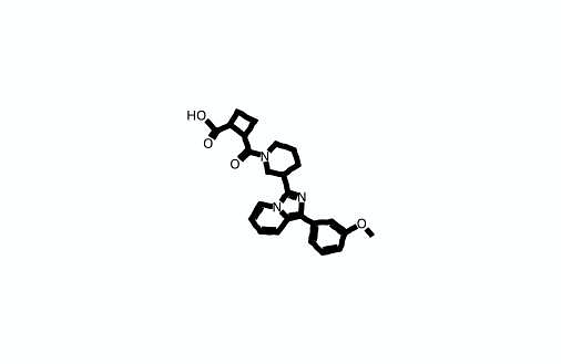 COc1cccc(-c2nc(C3CCCN(C(=O)C4CCC4C(=O)O)C3)n3ccccc23)c1